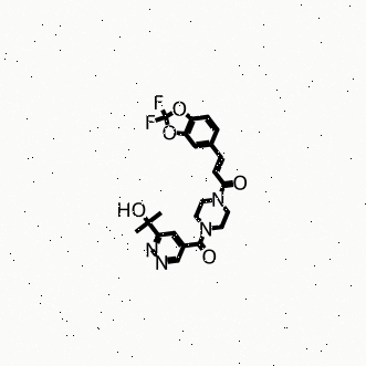 CC(C)(O)c1cc(C(=O)N2CCN(C(=O)C=Cc3ccc4c(c3)OC(F)(F)O4)CC2)cnn1